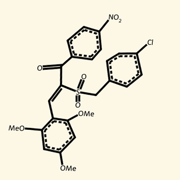 COc1cc(OC)c(C=C(C(=O)c2ccc([N+](=O)[O-])cc2)S(=O)(=O)Cc2ccc(Cl)cc2)c(OC)c1